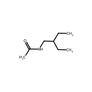 [CH2]C(=O)NCC(CC)CC